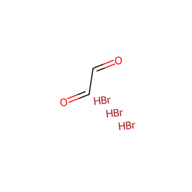 Br.Br.Br.O=CC=O